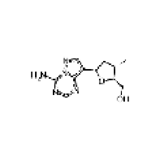 C[C@H]1C[C@H](c2cnn3c(N)ncnc23)O[C@@H]1CO